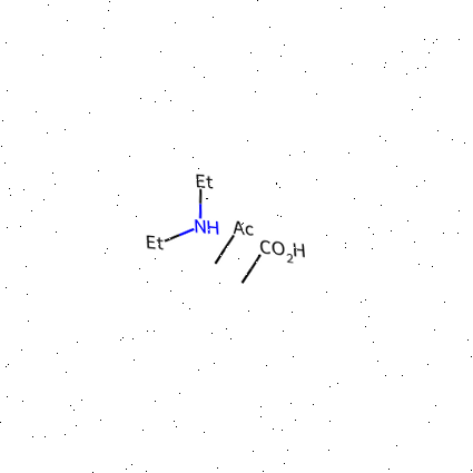 CC(=O)O.CC(C)=O.CCNCC